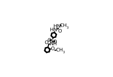 CCOc1ccccc1C(=O)NS(=O)(=O)c1ccc(NC(=O)NC)cc1